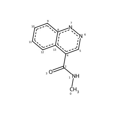 CNC(=O)c1cnnc2ccccc12